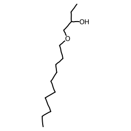 CCCCCCCCCCOCC(O)CC